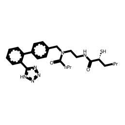 CCCC(=O)N(CCNC(=O)[C@H](S)CC(C)C)Cc1ccc(-c2ccccc2-c2nnn[nH]2)cc1